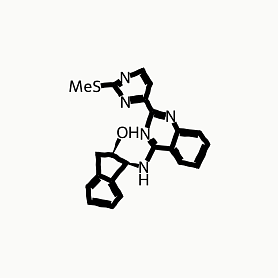 CSc1nccc(-c2nc(N[C@H]3c4ccccc4C[C@H]3O)c3ccccc3n2)n1